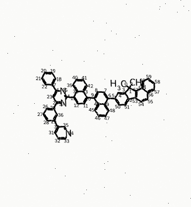 CC1(C)c2cc(-c3ccc(-c4ccc(-c5nc(-c6ccccc6)cc(-c6cccc(-c7cccnc7)c6)n5)c5ccccc45)c4ccccc34)ccc2-c2ccc3ccccc3c21